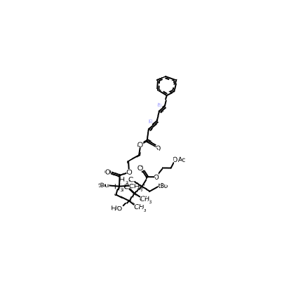 CC(=O)OCCOC(=O)C(C)(CC(C)(C)C)C(C)(C)C(C)(O)CC(C)(C(=O)OCCOC(=O)/C=C/C=C/c1ccccc1)C(C)(C)C